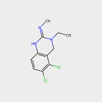 N#CCN1Cc2c(ccc(Cl)c2Cl)N/C1=N/C#N